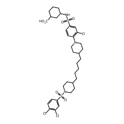 O=C(O)C1CCCC(NS(=O)(=O)c2ccc(N3CCC(CCCCCC4CCN(S(=O)(=O)c5ccc(Cl)c(Cl)c5)CC4)CC3)c(Cl)c2)C1